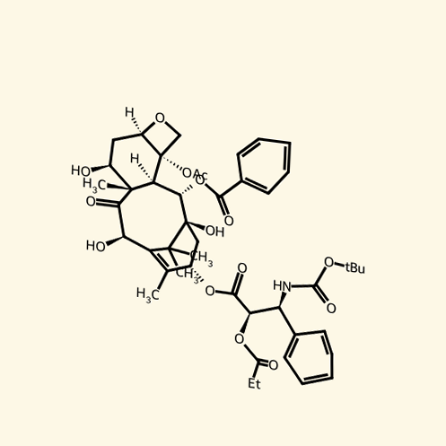 CCC(=O)O[C@@H](C(=O)O[C@H]1C[C@@]2(O)[C@@H](OC(=O)c3ccccc3)[C@@H]3[C@]4(OC(C)=O)CO[C@@H]4C[C@H](O)[C@@]3(C)C(=O)[C@H](O)C(=C1C)C2(C)C)[C@@H](NC(=O)OC(C)(C)C)c1ccccc1